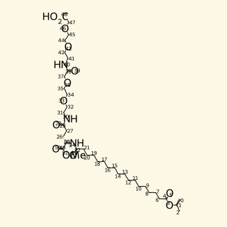 C=C(C)OC(=O)CCCCCCCCCCCCCCCCC(=O)N[C@@H](CCC(=O)NCCOCCOCC(=O)NCCOCCOCC(=O)O)C(=O)OC